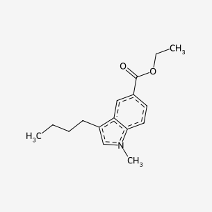 CCCCc1cn(C)c2ccc(C(=O)OCC)cc12